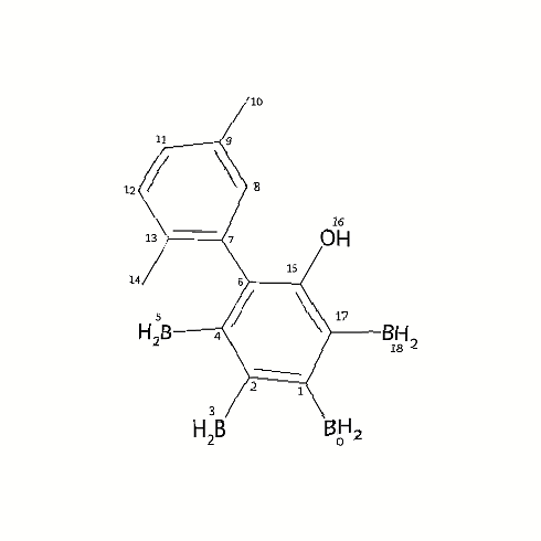 Bc1c(B)c(B)c(-c2cc(C)ccc2C)c(O)c1B